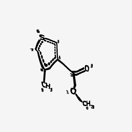 COC(=O)c1[c]scc1C